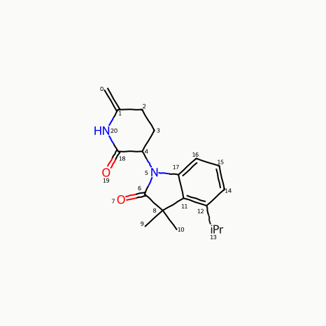 C=C1CCC(N2C(=O)C(C)(C)c3c(C(C)C)cccc32)C(=O)N1